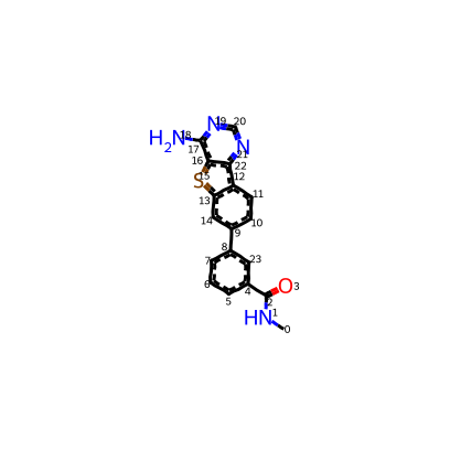 CNC(=O)c1cccc(-c2ccc3c(c2)sc2c(N)ncnc23)c1